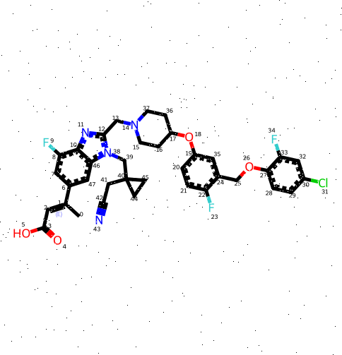 C/C(=C\C(=O)O)c1cc(F)c2nc(CN3CCC(Oc4ccc(F)c(COc5ccc(Cl)cc5F)c4)CC3)n(CC3(CC#N)CC3)c2c1